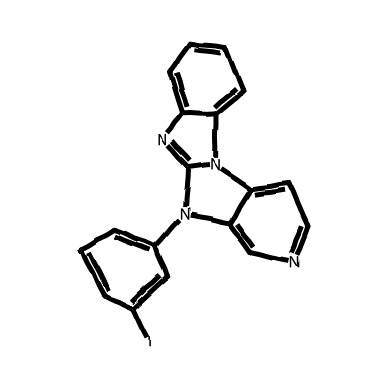 Ic1cccc(-n2c3cnccc3n3c4ccccc4nc23)c1